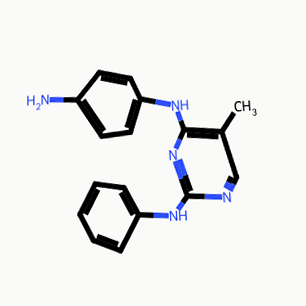 Cc1cnc(Nc2ccccc2)nc1Nc1ccc(N)cc1